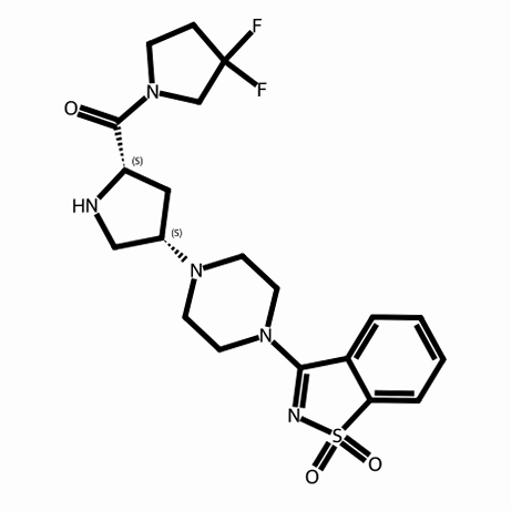 O=C([C@@H]1C[C@H](N2CCN(C3=NS(=O)(=O)c4ccccc43)CC2)CN1)N1CCC(F)(F)C1